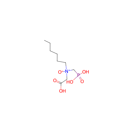 CCCCCC[N+]([O-])(CC(=O)O)CP(=O)(O)O